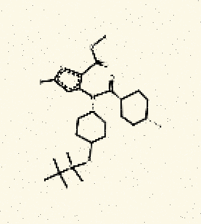 COC(=O)c1sc(I)cc1N(C(=O)[C@H]1CC[C@H](C)CC1)[C@H]1CC[C@H](O[Si](C)(C)C(C)(C)C)CC1